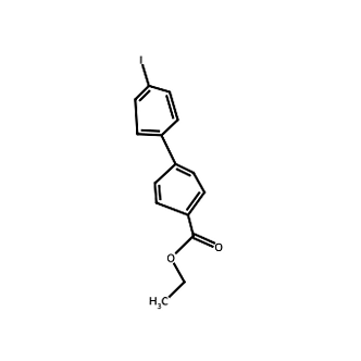 CCOC(=O)c1ccc(-c2ccc(I)cc2)cc1